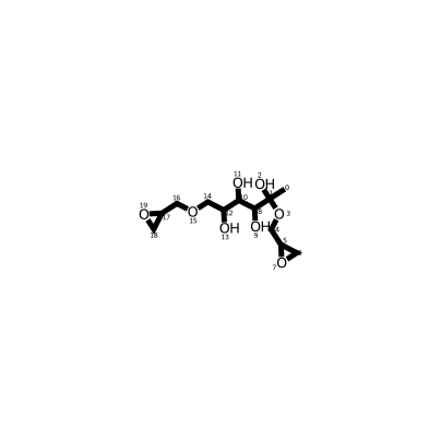 CC(O)(OCC1CO1)C(O)C(O)C(O)COCC1CO1